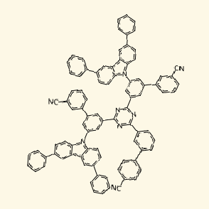 N#Cc1ccc(-c2cccc(-c3nc(-c4cc(-c5cccc(C#N)c5)cc(-n5c6ccc(-c7ccccc7)cc6c6cc(-c7ccccc7)ccc65)c4)nc(-c4cc(-c5cccc(C#N)c5)cc(-n5c6ccc(-c7ccccc7)cc6c6cc(-c7ccccc7)ccc65)c4)n3)c2)cc1